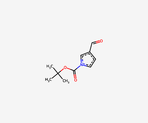 CC(C)(C)OC(=O)n1ccc(C=O)c1